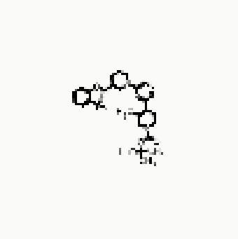 CC1=C(c2cncc(N3CCCC(COc4ccccc4C(F)(F)F)C3)n2)CCN(C(=O)OC(C)(C)C)C1